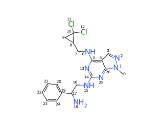 Cn1ncc2c(NCC3CC3(Cl)Cl)nc(NCC(N)c3ccccc3)nc21